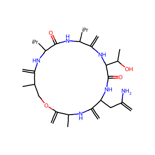 C=C(N)CC1NC(=O)C(C(C)O)NC(=C)C(C(C)C)NC(=O)C(C(C)C)NC(=C)C(C)COC(=C)C(C)NC1=C